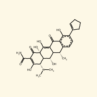 C[C@H]1c2ccc(C3=CCCC3)c(O)c2C(=O)C2=C(O)[C@]3(O)C(=O)C(C(N)=O)=C(O)[C@@H](N(C)C)C3[C@@H](O)C21